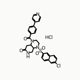 Cl.O=C1CC2C(CN1)N(S(=O)(=O)c1ccc3cc(Cl)ccc3c1)CCN2C(=O)c1ccc(-c2ccncc2)cc1